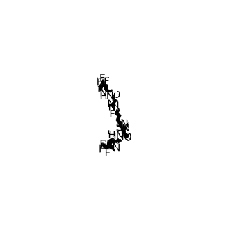 O=C(NCc1cc(C(F)(F)F)ccn1)c1cn(CC(F)CCc2nnc(C(=O)NCc3ccc(C(F)(F)F)cn3)s2)nn1